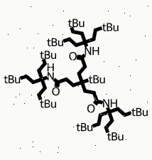 CC(C)(C)CCC(CCC(C)(C)C)(CCC(C)(C)C)NC(=O)CCC(CCC(=O)NC(CCC(C)(C)C)(CCC(C)(C)C)CCC(C)(C)C)(CCC(=O)NC(CCC(C)(C)C)(CCC(C)(C)C)CCC(C)(C)C)C(C)(C)C